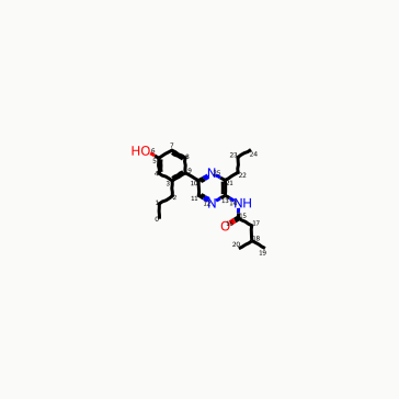 CCCc1cc(O)ccc1-c1cnc(NC(=O)CC(C)C)c(CCC)n1